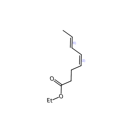 C/C=C/C=C\CCC(=O)OCC